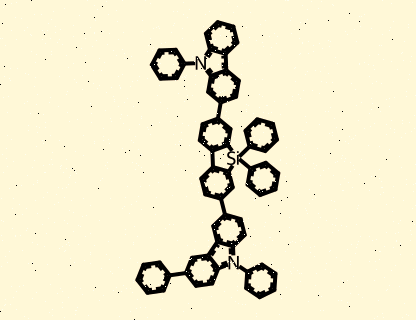 c1ccc(-c2ccc3c(c2)c2cc(-c4ccc5c(c4)[Si](c4ccccc4)(c4ccccc4)c4cc(-c6ccc7c8ccccc8n(-c8ccccc8)c7c6)ccc4-5)ccc2n3-c2ccccc2)cc1